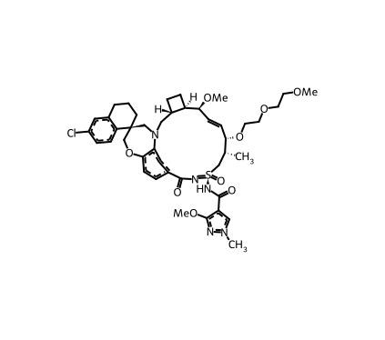 COCCOCCO[C@H]1/C=C/[C@H](OC)[C@@H]2CC[C@H]2CN2C[C@@]3(CCCc4cc(Cl)ccc43)COc3ccc(cc32)C(=O)N=[S@](=O)(NC(=O)c2cn(C)nc2OC)C[C@H]1C